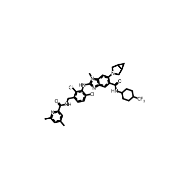 Cc1cc(C)nc(C(=O)NCc2ccc(Cl)c(Nc3nc4cc(C(=O)NC5CCC(C(F)(F)F)CC5)c(N5CC6CC6C5)cc4n3C)c2Cl)c1